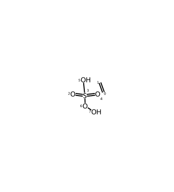 C=C.O=S(=O)(O)OO